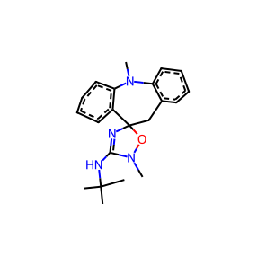 CN1OC2(Cc3ccccc3N(C)c3ccccc32)N=C1NC(C)(C)C